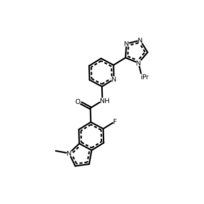 CC(C)n1cnnc1-c1cccc(NC(=O)c2cc3c(ccn3C)cc2F)n1